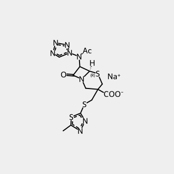 CC(=O)N(C1C(=O)N2CC(CSc3nnc(C)s3)(C(=O)[O-])CS[C@H]12)n1cnnn1.[Na+]